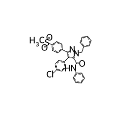 CS(=O)(=O)c1ccc(-c2nn(Cc3ccccc3)c(C(=O)Nc3ccccc3)c2-c2ccc(Cl)cc2)cc1